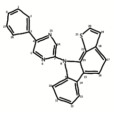 c1ccc(-c2cnc(-n3c4ccccc4c4ccc5ccsc5c43)cn2)cc1